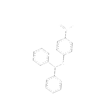 O=[N+]([O-])c1ccc(NC(c2ccccc2)c2ccccc2)cc1